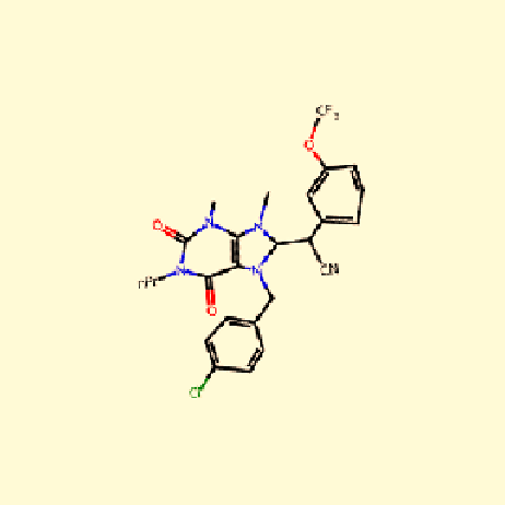 CCCn1c(=O)c2c(n(C)c1=O)N(C)C(C(C#N)c1cccc(OC(F)(F)F)c1)N2Cc1ccc(Cl)cc1